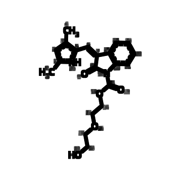 Cc1cc(C)c(/C=C2\C(=O)N(C(=O)OCCOCCO)c3ccccc32)[nH]1